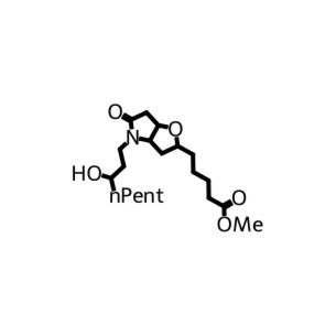 CCCCCC(O)CCN1C(=O)CC2OC(CCCCC(=O)OC)CC21